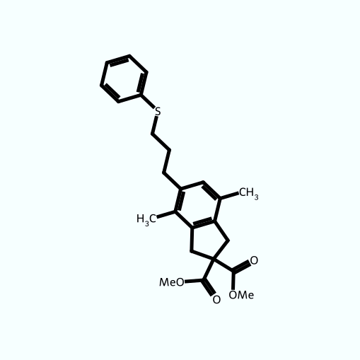 COC(=O)C1(C(=O)OC)Cc2c(C)cc(CCCSc3ccccc3)c(C)c2C1